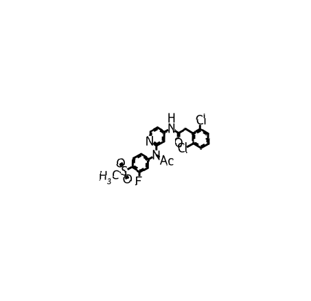 CC(=O)N(c1ccc(S(C)(=O)=O)c(F)c1)c1cc(NC(=O)Cc2c(Cl)cccc2Cl)ccn1